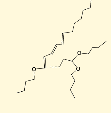 CCCCCCC=CC=CC=COCCCC.CCCCOC(CCC)OCCCC